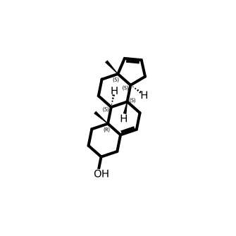 C[C@@]12C=CC[C@H]1[C@@H]1CC=C3CC(O)CC[C@]3(C)[C@H]1CC2